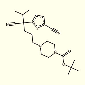 CC(C)C(C#N)(CCCN1CCN(C(=O)OC(C)(C)C)CC1)c1ccc(C#N)s1